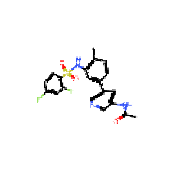 CC(=O)Nc1cncc(-c2ccc(C)c(NS(=O)(=O)c3ccc(F)cc3F)c2)c1